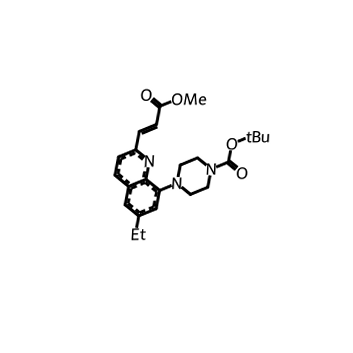 CCc1cc(N2CCN(C(=O)OC(C)(C)C)CC2)c2nc(C=CC(=O)OC)ccc2c1